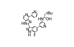 CC(C)(C)CC(O)Nc1cncc(-c2cc(F)c3[nH]nc(-c4nc5c(-c6cccnc6)nccc5[nH]4)c3c2)c1